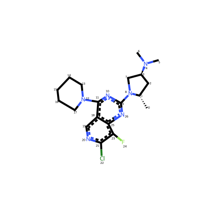 C[C@H]1C[C@H](N(C)C)CN1c1nc(N2CCCCC2)c2cnc(Cl)c(F)c2n1